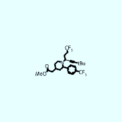 COC(=O)CC1CCN([C@H](C#CC(C)(C)C)CCC(F)(F)F)C(c2ccc(C(F)(F)F)cc2)C1